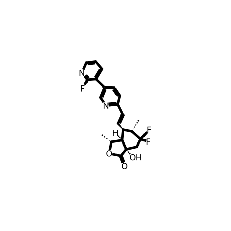 C[C@H]1OC(=O)[C@]2(O)CC(F)(F)[C@@H](C)[C@H](/C=C/c3ccc(-c4cccnc4F)cn3)[C@H]12